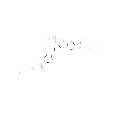 CCCNC(=O)c1ccc(-c2ccc(-c3ccc(C(=O)NCCC)cc3)o2)cc1.CNC.Cl.Cl